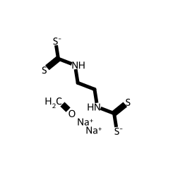 C=O.S=C([S-])NCCNC(=S)[S-].[Na+].[Na+]